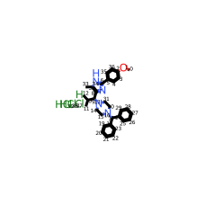 COc1ccc(-c2nc(C(C(C)C)N3CCN(C(c4ccccc4)c4ccccc4)CC3)c(C)[nH]2)cc1.Cl.Cl.Cl